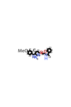 COc1ccc(-c2nn(C)c3nc(OCC(=O)NC(C)c4ccccc4)cc(C(F)(F)F)c23)cc1